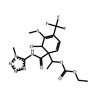 CCOC(=O)OC(C)C1(C(=O)Nc2nnnn2C)C=CC(C(F)(F)F)=C(SC)C1Cl